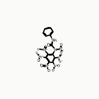 O=C(Nc1ccccc1)N(c1c([N+](=O)[O-])c([N+](=O)[O-])c([N+](=O)[O-])c([N+](=O)[O-])c1[N+](=O)[O-])[N+](=O)[O-]